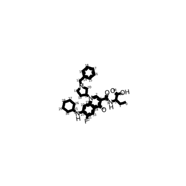 CCC(NC(=O)c1cn(C2CCN(Cc3ccccc3)C2)c2cc(NC3CCCCC3)c(F)cc2c1=O)C(=O)O